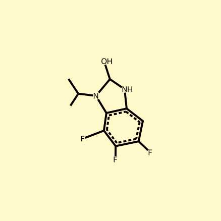 CC(C)N1c2c(cc(F)c(F)c2F)NC1O